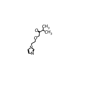 CC(C)C(=O)COCCn1ccnc1